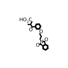 CC(CC(=O)O)C(=O)c1cccc(OCCCN2C(=O)c3ccccc3C2=O)c1